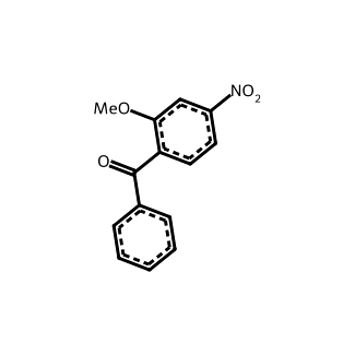 COc1cc([N+](=O)[O-])ccc1C(=O)c1ccccc1